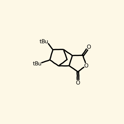 CC(C)(C)C1C2CC(C3C(=O)OC(=O)C23)C1C(C)(C)C